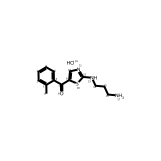 Cc1ccccc1C(=O)c1cnc(NCCCN)s1.Cl